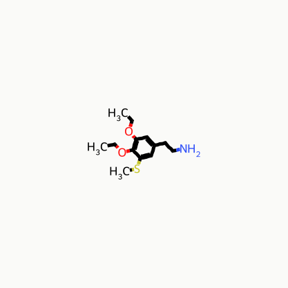 CCOc1cc(CCN)cc(SC)c1OCC